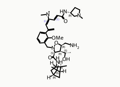 C=C(/C=C(\C=C\C(=O)N[C@@H]1CCN(C)C1)N(C)C)c1cccc(CN2O[C@@H](CN)[C@@H]([C@H](C)O)[C@H]2C(=O)N[C@H]2C[C@H]3C[C@@H]([C@@H]2C)C3(C)C)c1OC